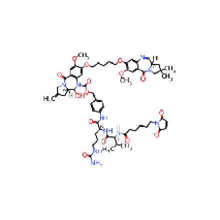 C=C1C[C@H]2C(O)N(C(=O)OCc3ccc(NC(=O)[C@H](CCCNC(N)=O)NC(=O)[C@@H](NC(=O)CCCCCN4C(=O)C=CC4=O)C(C)C)cc3)c3cc(OCCCCCOc4cc5c(cc4OC)C(=O)N4CC(C)(C)C[C@H]4C=N5)c(OC)cc3C(=O)N2C1